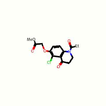 CCC(=O)N1CCC(=O)c2c1ccc(OCC(=O)OC)c2Cl